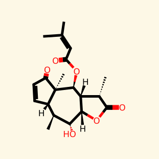 CC(C)=CC(=O)O[C@H]1[C@H]2[C@H](OC(=O)[C@H]2C)[C@H](O)[C@@H](C)[C@@H]2C=CC(=O)[C@]21C